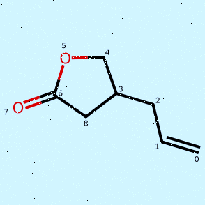 C=CCC1COC(=O)C1